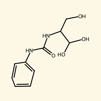 O=C(Nc1ccccc1)NC(CO)C(O)O